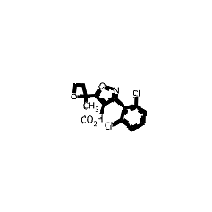 CC1(c2onc(-c3c(Cl)cccc3Cl)c2C(=O)O)CCO1